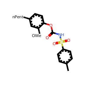 CCCCCc1ccc(OC(=O)NS(=O)(=O)c2ccc(C)cc2)c(OC)c1